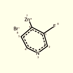 Fc1cncc[c]1[Zn+].[Br-]